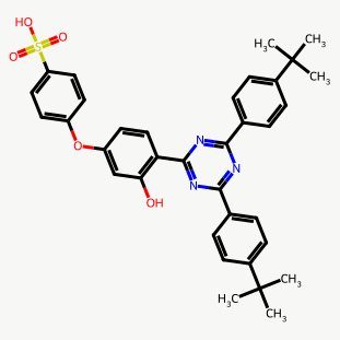 CC(C)(C)c1ccc(-c2nc(-c3ccc(C(C)(C)C)cc3)nc(-c3ccc(Oc4ccc(S(=O)(=O)O)cc4)cc3O)n2)cc1